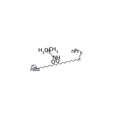 CCC/C=C\C/C=C\CCCCCCCCC(CCCCCCCC/C=C\C/C=C\CCCC)OC(=O)NCCCN(C)C